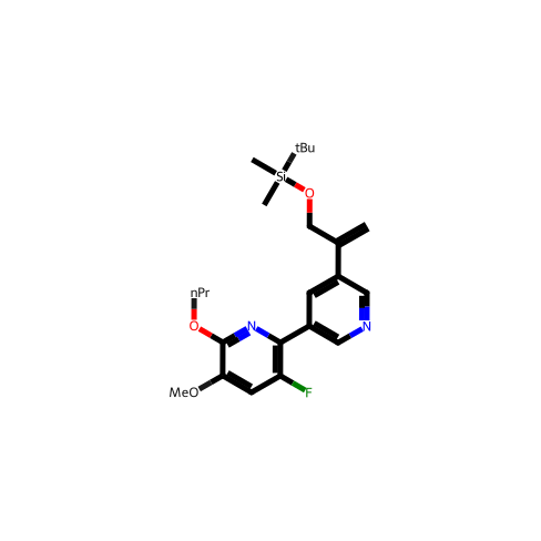 C=C(CO[Si](C)(C)C(C)(C)C)c1cncc(-c2nc(OCCC)c(OC)cc2F)c1